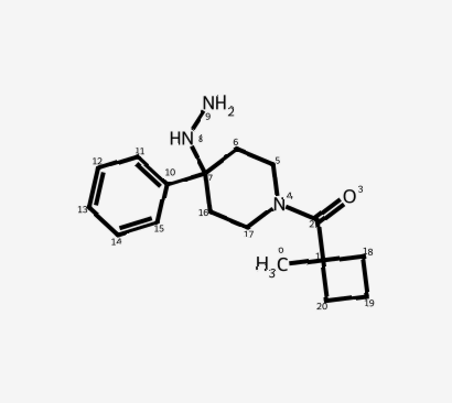 CC1(C(=O)N2CCC(NN)(c3ccccc3)CC2)CCC1